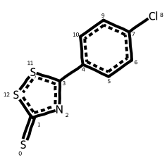 S=c1nc(-c2ccc(Cl)cc2)ss1